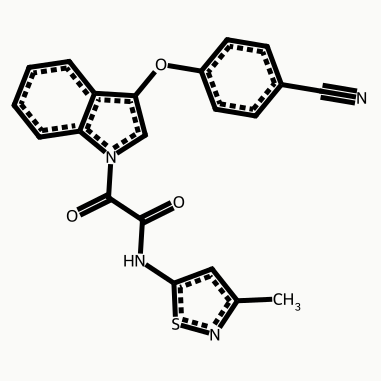 Cc1cc(NC(=O)C(=O)n2cc(Oc3ccc(C#N)cc3)c3ccccc32)sn1